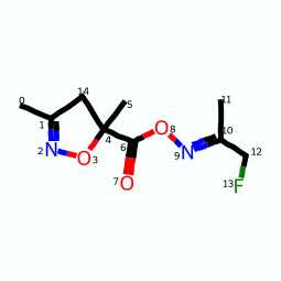 CC1=NOC(C)(C(=O)O/N=C(\C)CF)C1